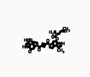 CNCCN(C)C(=O)Oc1cc2c(c3c(C)c[nH]c13)CCN2C(=O)C12CC(C(=O)N3CC4[C@@H](C)[C@@]45C3=CC(=O)c3[nH]cc(C)c35)(C1)C2